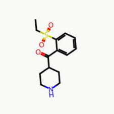 CCS(=O)(=O)c1ccccc1C(=O)C1CCNCC1